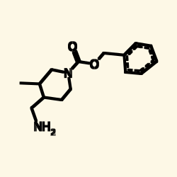 CC1CN(C(=O)OCc2ccccc2)CCC1CN